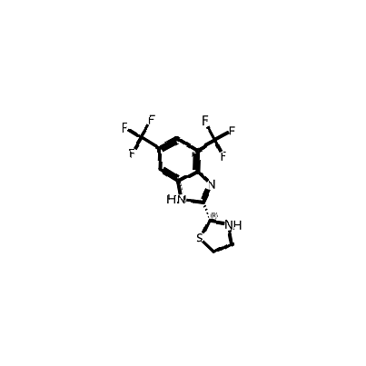 FC(F)(F)c1cc(C(F)(F)F)c2nc([C@@H]3NCCS3)[nH]c2c1